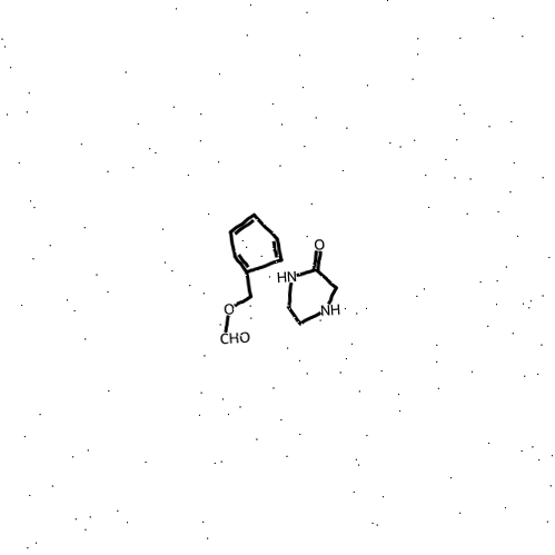 O=C1CNCCN1.O=COCc1ccccc1